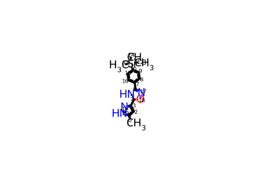 Cc1cc(C2NC(c3ccc([Si](C)(C)C)cc3)=NO2)n[nH]1